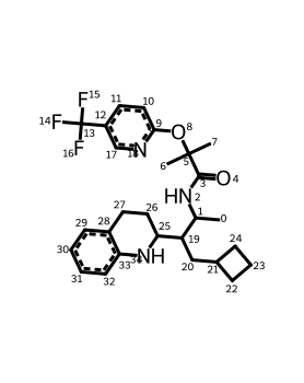 CC(NC(=O)C(C)(C)Oc1ccc(C(F)(F)F)cn1)C(CC1CCC1)C1CCc2ccccc2N1